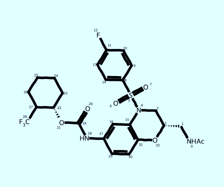 CC(=O)NC[C@H]1CN(S(=O)(=O)c2ccc(F)cc2)c2cc(NC(=O)O[C@H]3CCCCC3C(F)(F)F)ccc2O1